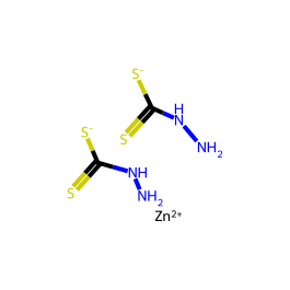 NNC(=S)[S-].NNC(=S)[S-].[Zn+2]